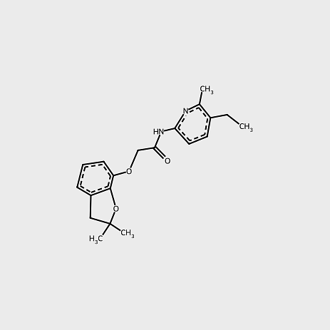 CCc1ccc(NC(=O)COc2cccc3c2OC(C)(C)C3)nc1C